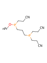 CCCOP(CCC#N)CCCP(CCC#N)CCC#N